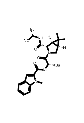 CC[C@@H](C#N)NC(=O)[C@@H]1[C@@H]2[C@H](CN1C(=O)[C@@H](NC(=O)c1cc3ccccc3n1C)C(C)(C)C)C2(C)C